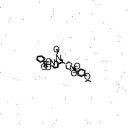 CC(C)Oc1ccc(S(=O)(=O)N2CCC(c3cn(CC=O)c4nc(OS(=O)(=O)c5ccccc5)ccc34)CC2)cc1